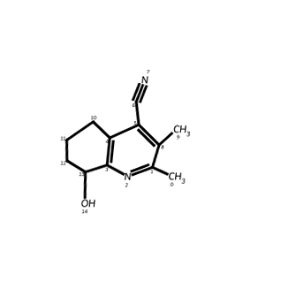 Cc1nc2c(c(C#N)c1C)CCCC2O